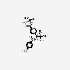 Cc1ccc([S@+]([O-])N[C@@H](c2ccc(C(=O)OC(C)(C)C)cc2)C(C)(C)C)cc1